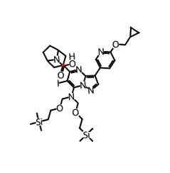 C[Si](C)(C)CCOCN(COCC[Si](C)(C)C)c1c(I)c(C2CC3CCC(C2)N3C(=O)O)nc2c(-c3ccc(OCC4CC4)nc3)cnn12